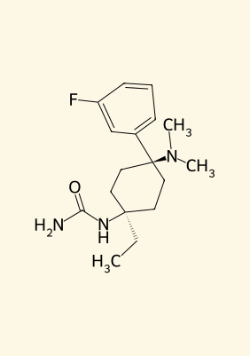 CC[C@]1(NC(N)=O)CC[C@@](c2cccc(F)c2)(N(C)C)CC1